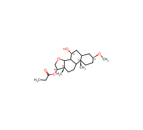 CCC(=O)O[C@H]1COC2C3C(CC[C@@]21C)[C@@]1(C)CC[C@H](OC)CC1C[C@@H]3O